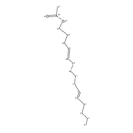 CCCC/C=C/CCCC/C=C/CCCOC(C)=O